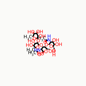 CC(=O)N[C@H]1[C@H](O[C@H]2[C@H](O[C@@H]3O[C@@H](C)[C@@H](O)[C@@H](O)[C@@H]3O[C@@H]3O[C@@H](C)[C@@H](O)[C@@H](O)[C@@H]3O)[C@@H](NC(C)=O)C(O)O[C@@H]2CO)O[C@H](CO)[C@H](O)[C@@H]1O